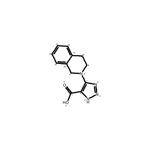 O=C(O)c1[nH]nnc1N1CCc2ccccc2C1